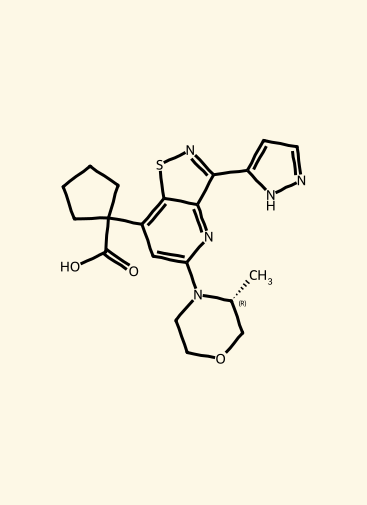 C[C@@H]1COCCN1c1cc(C2(C(=O)O)CCCC2)c2snc(-c3ccn[nH]3)c2n1